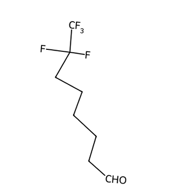 O=CCCCCCC(F)(F)C(F)(F)F